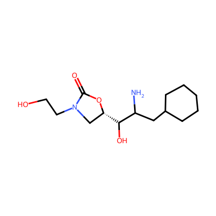 NC(CC1CCCCC1)C(O)[C@@H]1CN(CCO)C(=O)O1